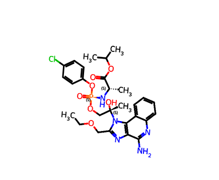 CCOCc1nc2c(N)nc3ccccc3c2n1[C@@](C)(O)CO[P@@](=O)(N[C@@H](C)C(=O)OC(C)C)Oc1ccc(Cl)cc1